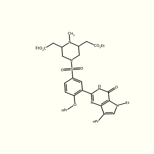 CCCOc1ccc(S(=O)(=O)N2CC(CC(=O)OCC)N(C)C(CC(=O)OCC)C2)cc1-c1nc2c(CCC)cn(CC)c2c(=O)[nH]1